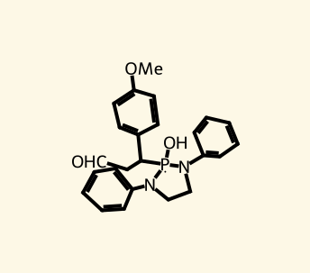 COc1ccc(C(CC=O)[P]2(O)N(c3ccccc3)CCN2c2ccccc2)cc1